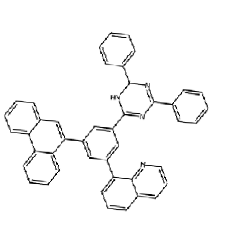 c1ccc(C2=NC(c3ccccc3)NC(c3cc(-c4cc5ccccc5c5ccccc45)cc(-c4cccc5cccnc45)c3)=N2)cc1